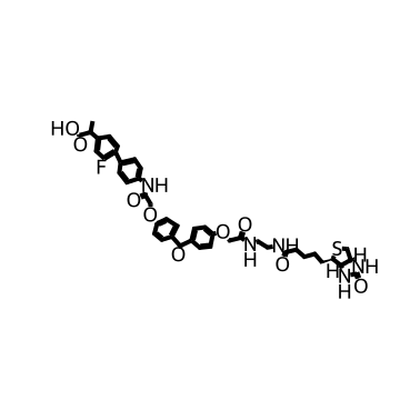 CC(C(=O)O)c1ccc(-c2ccc(NC(=O)COc3ccc(C(=O)c4ccc(OCC(=O)NCCNC(=O)CCCC[C@H]5SC[C@H]6NC(=O)N[C@H]65)cc4)cc3)cc2)c(F)c1